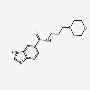 O=C(NCCCN1CCOCC1)c1ccc2nc[nH]c2c1